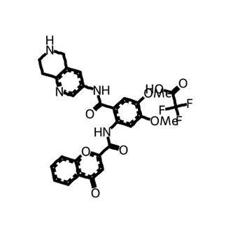 COc1cc(NC(=O)c2cc(=O)c3ccccc3o2)c(C(=O)Nc2cnc3c(c2)CNCC3)cc1OC.O=C(O)C(F)(F)F